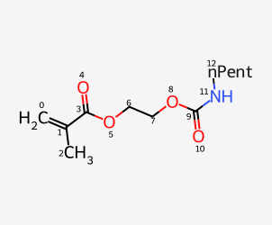 C=C(C)C(=O)OCCOC(=O)NCCCCC